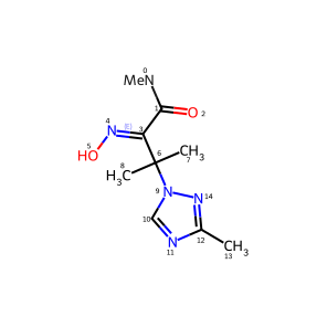 CNC(=O)/C(=N/O)C(C)(C)n1cnc(C)n1